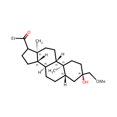 CCC(=O)C1CC[C@H]2[C@@H]3CC[C@H]4C[C@@](O)(COC)CC[C@]4(C)[C@H]3CC[C@]12C